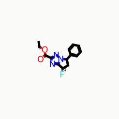 CCOC(=O)c1nc2n(n1)C(c1ccccc1)C[C@H]2F